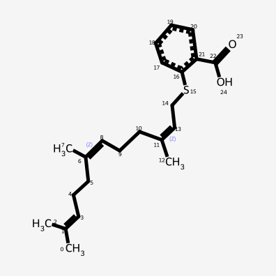 CC(C)=CCC/C(C)=C\CC/C(C)=C\CSc1ccccc1C(=O)O